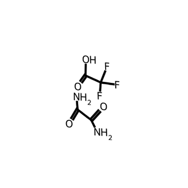 NC(=O)C(N)=O.O=C(O)C(F)(F)F